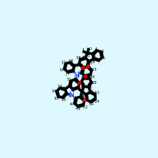 CC1(C)c2ccccc2-c2ccc(-c3ccccc3N(c3ccccc3)c3cc4c5c(c3)c3ccccc3n5-c3ccccc3C43c4ccccc4-c4ccccc43)cc21